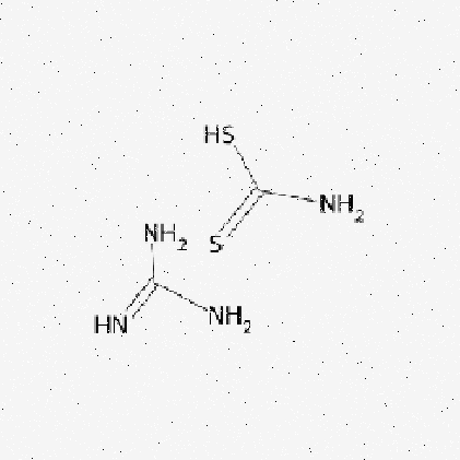 N=C(N)N.NC(=S)S